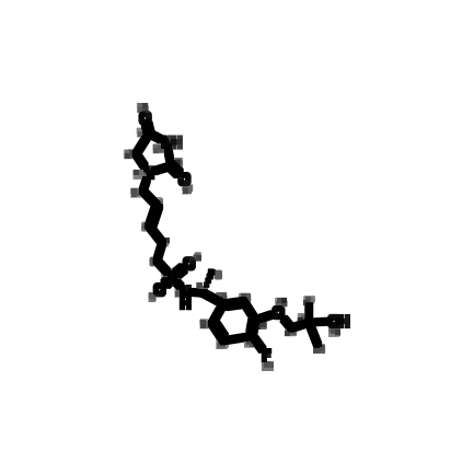 C[C@@H](NS(=O)(=O)CC/C=C/CN1CC(=O)NC1=O)c1ccc(F)c(OCC(C)(C)O)c1